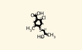 Cc1cc(C(=O)O)c(Cl)cc1SCC(C)O